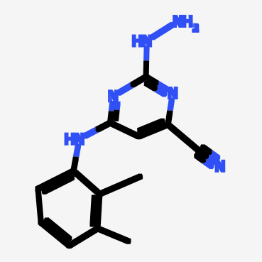 Cc1cccc(Nc2cc(C#N)nc(NN)n2)c1C